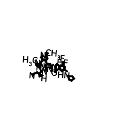 Cc1cc(-c2cc(NCC3(CC#N)CC3)nc(N3Cc4c(cc(CNC5CCCC5)cc4C(F)(F)F)C3=O)c2)c(-c2nncn2C)cn1